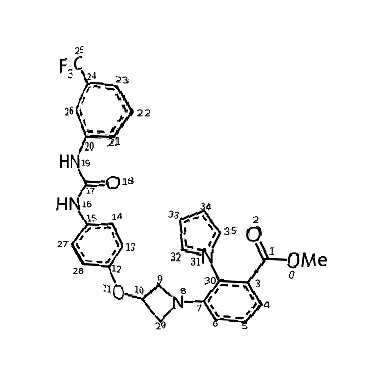 COC(=O)c1cccc(N2CC(Oc3ccc(NC(=O)Nc4cccc(C(F)(F)F)c4)cc3)C2)c1-n1cccc1